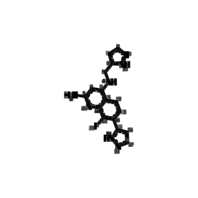 Nc1cc(NCc2ccn[nH]2)c2ccc(-c3ccn[nH]3)c(F)c2n1